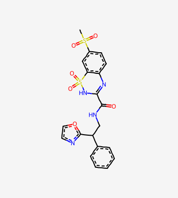 CS(=O)(=O)c1ccc2c(c1)S(=O)(=O)NC(C(=O)NCC(c1ccccc1)c1ncco1)=N2